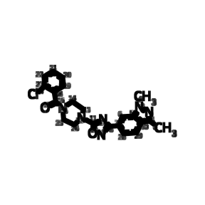 Cc1nn(C)c2cc(-c3noc(N4CCN(C(=O)c5ccccc5Cl)CC4)n3)ccc12